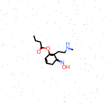 CCCC(=O)OC1=C(CCNC)C(=NO)CC=C1